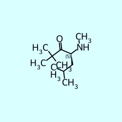 CN[C@@H](CC(C)C)C(=O)C(C)(C)C